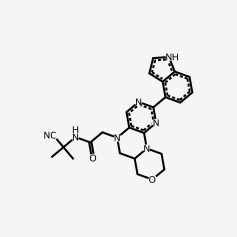 CC(C)(C#N)NC(=O)CN1CC2COCCN2c2nc(-c3cccc4[nH]ccc34)ncc21